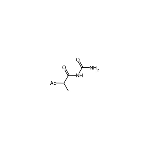 CC(=O)C(C)C(=O)NC(N)=O